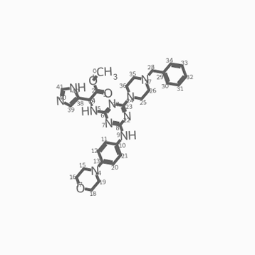 COC(=O)[C@@H](Nc1nc(Nc2ccc(N3CCOCC3)cc2)nc(N2CCN(Cc3ccccc3)CC2)n1)c1cnc[nH]1